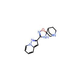 c1ccn2nc(C3=NOC4(CN5CCC4CC5)N3)cc2c1